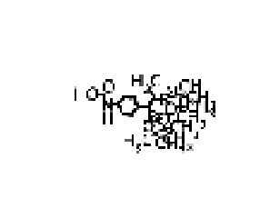 CCC(B1OC(C)(C)C(C)(C)O1)=C(B1OC(C)(C)C(C)(C)O1)c1ccc(NC(=O)O)cc1